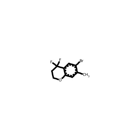 Cc1cc2c(cc1Br)C(F)(F)CCO2